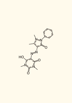 Cc1c(/N=N/c2c(O)n(C)c(=O)n(C)c2=O)c(=O)n(-c2ccccc2)n1C